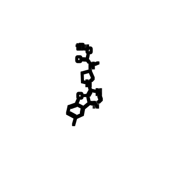 Cc1ccc2oc3c(N4CC[C@H](N(C)C(=O)OC(C)(C)C)C4)ncnc3c2c1